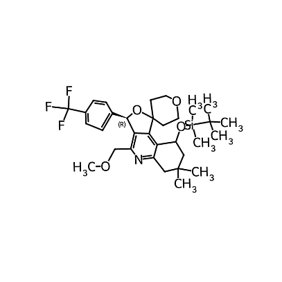 COCc1nc2c(c3c1[C@@H](c1ccc(C(F)(F)F)cc1)OC31CCOCC1)C(O[Si](C)(C)C(C)(C)C)CC(C)(C)C2